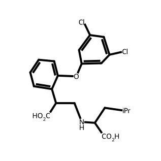 CC(C)CC(NCC(C(=O)O)c1ccccc1Oc1cc(Cl)cc(Cl)c1)C(=O)O